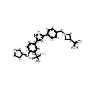 O=C(O)C1CN(Cc2ccc(-c3nc(-c4ccc(OC5CCOC5)c(C(F)(F)F)c4)no3)cc2)C1